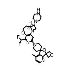 Cc1ccnc2c1C1(CCN(c3cc4c(c(C(F)F)n3)OCC[C@H]3[C@H](N5CCNCC5)CN43)CC1)OC21COC1